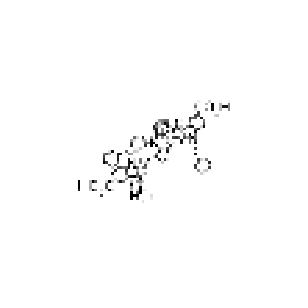 CC1(C)C(/C=C/C2=C(N(c3ccccc3)c3ccccc3)C(=C/C=C3/N(CCc4ccccc4)c4ccc(C(=O)O)cc4C3(C)C)/CC2)=[N+](CCc2ccccc2)c2ccc(C(=O)O)cc21